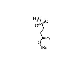 CC(C)(C)OC(=O)CCS(C)(=O)=O